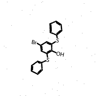 Oc1c(Sc2ccccc2)cc(Br)cc1Sc1ccccc1